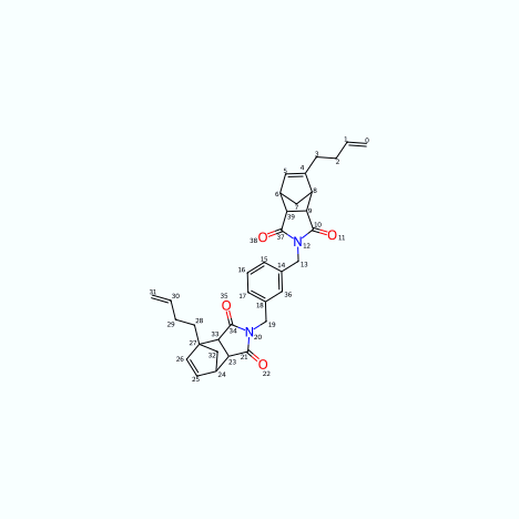 C=CCCC1=CC2CC1C1C(=O)N(Cc3cccc(CN4C(=O)C5C6C=CC(CCC=C)(C6)C5C4=O)c3)C(=O)C21